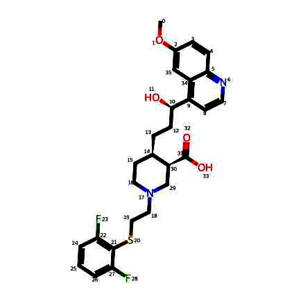 COc1ccc2nccc([C@H](O)CC[C@@H]3CCN(CCSc4c(F)cccc4F)C[C@@H]3C(=O)O)c2c1